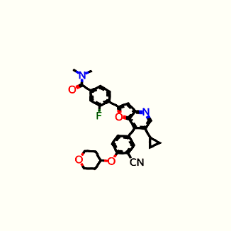 CN(C)C(=O)c1ccc(-c2cc3ncc(C4CC4)c(-c4ccc(OC5CCOCC5)c(C#N)c4)c3o2)c(F)c1